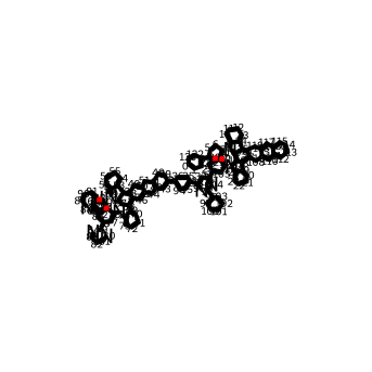 c1ccc(-c2ccc(-n3c4ccccc4c4c5c(c6c7ccccc7n(-c7cccc(-c8cc(-c9ccc(-c%10ccc%11c(c%10)Cc%10cc%12c(cc%10C%11)c%10c%11ccccc%11n(-c%11ccccc%11)c%10c%10c%12c%11ccccc%11n%10-c%10cc(-c%11ncccn%11)cc(-c%11ncccn%11)c%10)cc9)nc(-c9ccccc9)n8)c7)c6c43)Cc3cc4ccccc4cc3C5)cc2)cc1